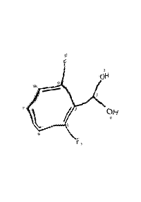 OC(O)c1c(F)cccc1F